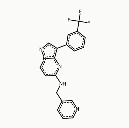 FC(F)(F)c1cccc(-c2cnn3ccc(NCc4cccnc4)nc23)c1